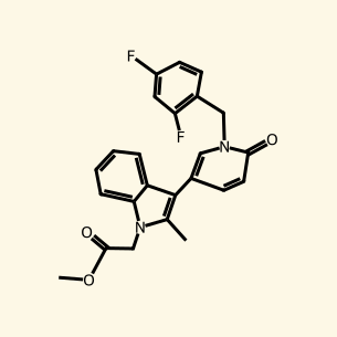 COC(=O)Cn1c(C)c(-c2ccc(=O)n(Cc3ccc(F)cc3F)c2)c2ccccc21